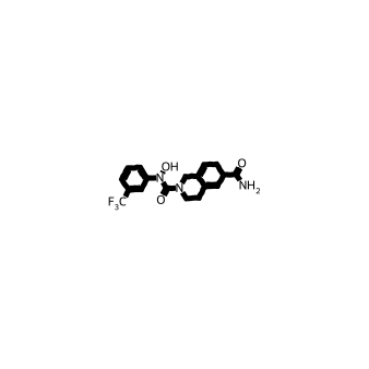 NC(=O)C1C=C2CCN(C(=O)N(O)c3cccc(C(F)(F)F)c3)CC2=CC1